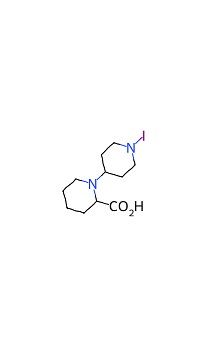 O=C(O)C1CCCCN1C1CCN(I)CC1